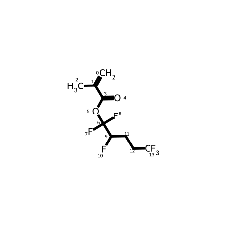 C=C(C)C(=O)OC(F)(F)C(F)CCC(F)(F)F